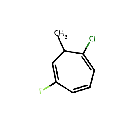 CC1C=C(F)C=CC=C1Cl